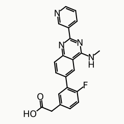 CNc1nc(-c2cccnc2)nc2ccc(-c3cc(CC(=O)O)ccc3F)cc12